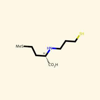 CSCC[C@H](NCCCS)C(=O)O